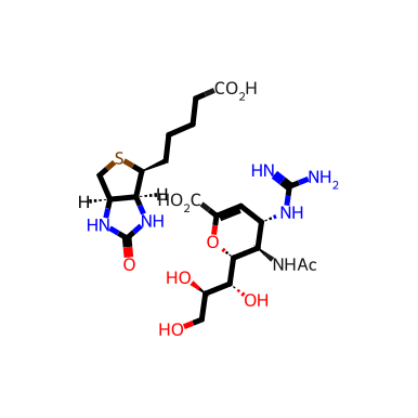 CC(=O)N[C@H]1[C@H]([C@H](O)[C@H](O)CO)OC(C(=O)O)=C[C@@H]1NC(=N)N.O=C(O)CCCC[C@@H]1SC[C@@H]2NC(=O)N[C@@H]21